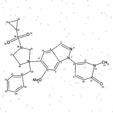 COc1cc2c(cnn2-c2ccc(=O)n(C)c2)cc1C1(Cc2ccccc2)CCN(S(=O)(=O)C2CC2)C1